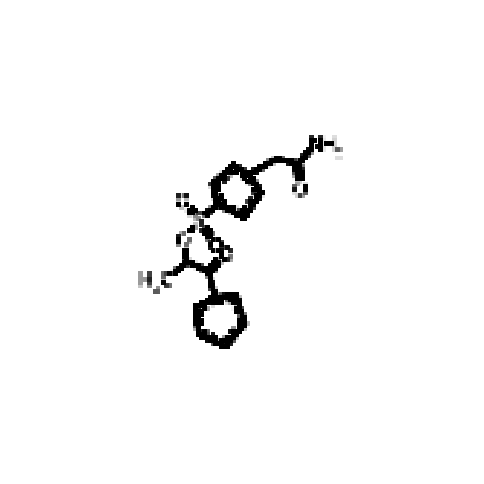 CC(OS(=O)(=O)c1ccc(CC(N)=O)cc1)C(=O)c1ccccc1